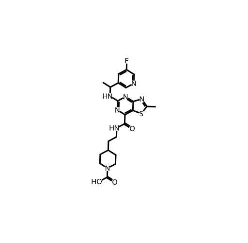 Cc1nc2nc(NC(C)c3cncc(F)c3)nc(C(=O)NCCC3CCN(C(=O)O)CC3)c2s1